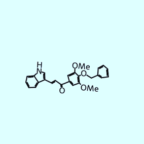 COc1cc(C(=O)/C=C/c2c[nH]c3ccccc23)cc(OC)c1OCc1ccccc1